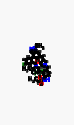 CCS(=O)(=O)NC1CCC(CN2CC[C@@H](Cc3cc(-c4ccc(F)cc4C(=O)N(CC(F)F)C(C)C)c4cnn(C)c4c3)C2)CC1